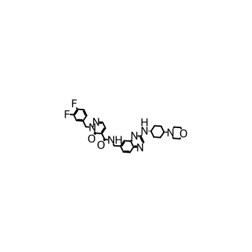 O=C(NCc1ccc2ncc(N[C@H]3CC[C@H](N4CCOCC4)CC3)nc2c1)c1ccnn(Cc2ccc(F)c(F)c2)c1=O